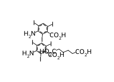 Nc1c(I)cc(I)c(C(=O)O)c1I.Nc1c(I)cc(I)c(C(=O)O)c1I.O=C(O)CCCCC(=O)O